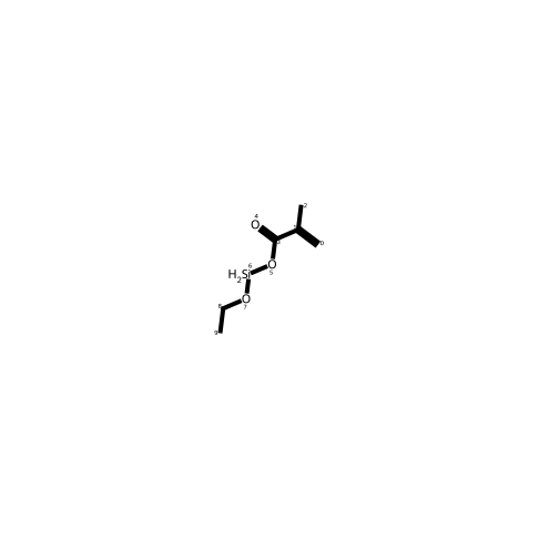 C=C(C)C(=O)O[SiH2]OCC